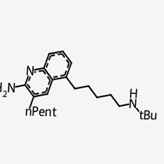 CCCCCc1cc2c(CCCCCNC(C)(C)C)cccc2nc1N